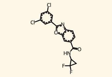 O=C(NC1CC1(F)F)c1ccc2nc(-c3cc(Cl)cc(Cl)c3)oc2c1